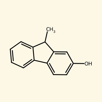 CC1c2ccccc2-c2ccc(O)cc21